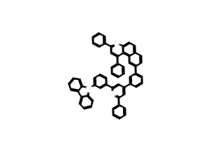 c1ccc(-c2cc(-c3cccc(-c4ccc5ccc6nc(-c7ccccc7)cc(-c7ccccc7)c6c5c4)c3)cc(-c3cccc(-n4c5ccccc5c5ccccc54)c3)n2)cc1